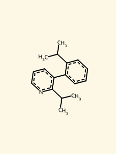 CC(C)c1ccccc1-c1cccnc1C(C)C